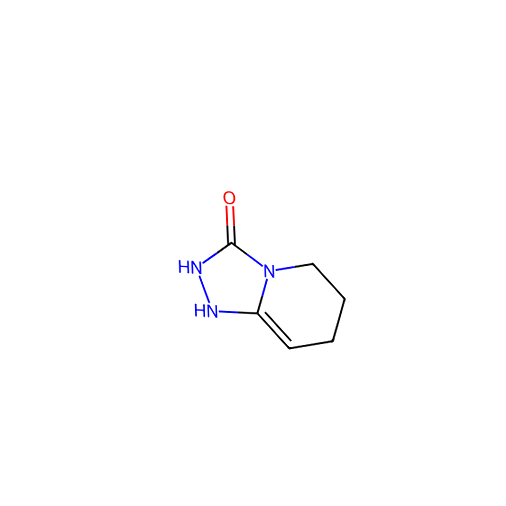 O=C1NNC2=CCCCN12